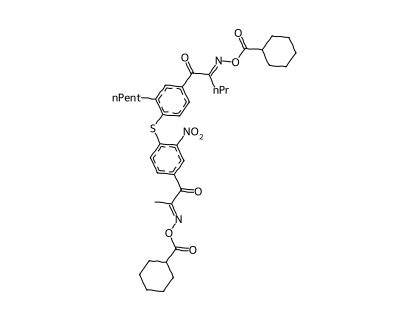 CCCCCc1cc(C(=O)/C(CCC)=N/OC(=O)C2CCCCC2)ccc1Sc1ccc(C(=O)/C(C)=N/OC(=O)C2CCCCC2)cc1[N+](=O)[O-]